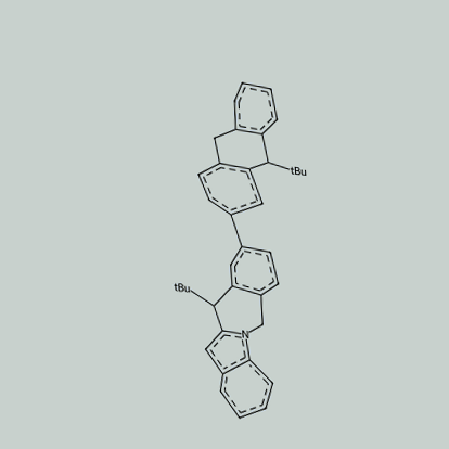 CC(C)(C)C1c2ccccc2Cc2ccc(-c3ccc4c(c3)C(C(C)(C)C)c3cc5ccccc5n3C4)cc21